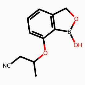 CC(CC#N)Oc1cccc2c1B(O)OC2